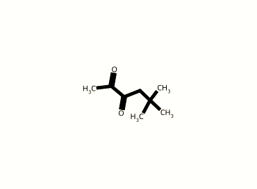 CC(=O)C(=O)CC(C)(C)C